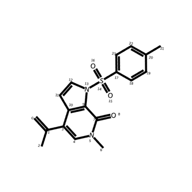 C=C(C)c1cn(C)c(=O)c2c1ccn2S(=O)(=O)c1ccc(C)cc1